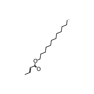 [CH2]CCCCCCCCCCCOC(=O)C=CC